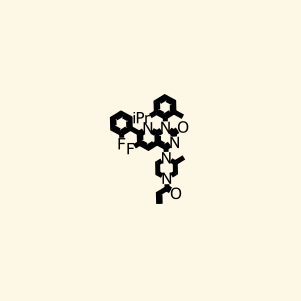 C=CC(=O)N1CCN(c2nc(=O)n(-c3c(C)cccc3C(C)C)c3nc(-c4ccccc4F)c(F)cc23)C(C)C1